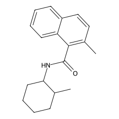 Cc1ccc2ccccc2c1C(=O)NC1CCCCC1C